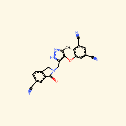 Cc1n[nH]c(CN2Cc3ccc(C#N)cc3C2=O)c1Oc1cc(C#N)cc(C#N)c1